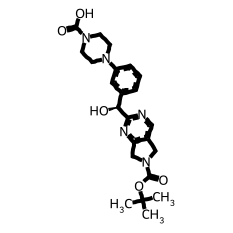 CC(C)(C)OC(=O)N1Cc2cnc([C@@H](O)c3cccc(N4CCN(C(=O)O)CC4)c3)nc2C1